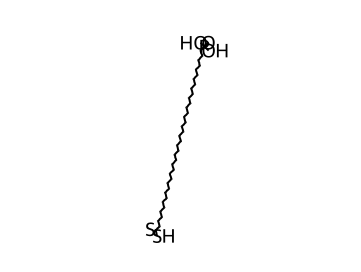 O=P(O)(O)CCCCCCCCCCCCCCCCCCCCCCCCCCCCCCCCCCCCCCC(=S)S